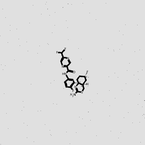 NC1=N[C@@]2(c3cc(NC(=O)c4cnc(C(F)F)cn4)ccc3F)CC[C@H](F)C[C@H]2CS1